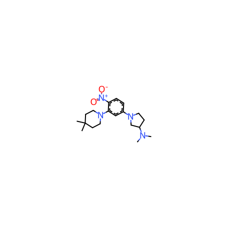 CN(C)C1CCN(c2ccc([N+](=O)[O-])c(N3CCC(C)(C)CC3)c2)C1